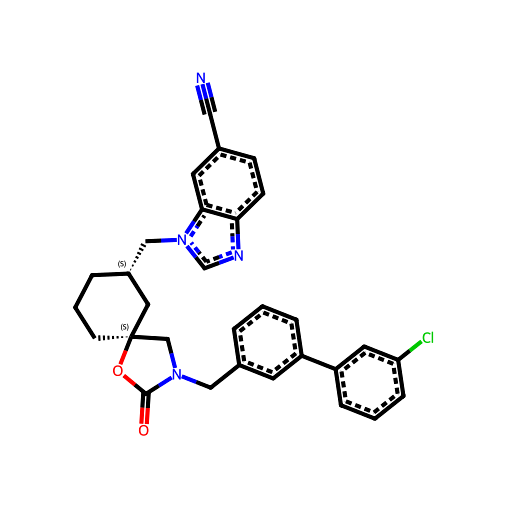 N#Cc1ccc2ncn(C[C@H]3CCC[C@]4(C3)CN(Cc3cccc(-c5cccc(Cl)c5)c3)C(=O)O4)c2c1